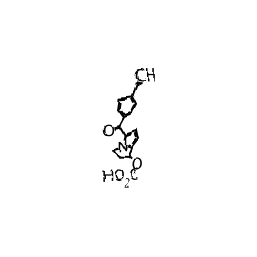 C#Cc1ccc(C(=O)c2ccc3n2CCC3OC(=O)O)cc1